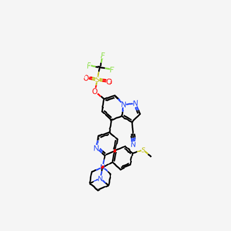 CSc1ccc(CN2C3CC2CN(c2ccc(-c4cc(OS(=O)(=O)C(F)(F)F)cn5ncc(C#N)c45)cn2)C3)cc1